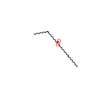 CCCCCCCC/C=C\CCCCCCCC(=O)OCCCCCCCC/C=C/CCCCCCCC